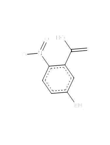 Bc1ccc([N+](=O)[O-])c(C(=C)O)c1